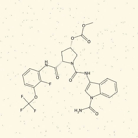 COC(=O)O[C@H]1C[C@@H](C(=O)Nc2cccc(OC(F)(F)F)c2F)N(C(=O)Nc2cn(C(N)=O)c3ccccc23)C1